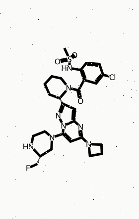 CS(=O)(=O)Nc1ccc(Cl)cc1C(=O)N1CCCC[C@H]1c1cc2nc(N3CCC3)cc(N3CCN[C@@H](CF)C3)n2n1